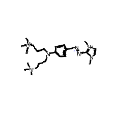 Cn1cc[n+](C)c1/N=N/c1ccc(N(CCC[N+](C)(C)C)CCC[N+](C)(C)C)cc1